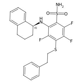 NS(=O)(=O)c1c(F)c(F)c(SCCc2ccccc2)c(F)c1N[C@H]1CCCc2ccccc21